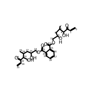 C=CC(=O)C(O)C(C)CC(O)COC(=O)c1ccccc1C(=O)OCC(O)CC(C)C(O)C(=O)C=C